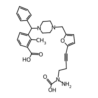 Cc1c(C(=O)O)cccc1C(c1ccccc1)N1CCN(Cc2ccc(C#CCCN(N)C(=O)O)o2)CC1